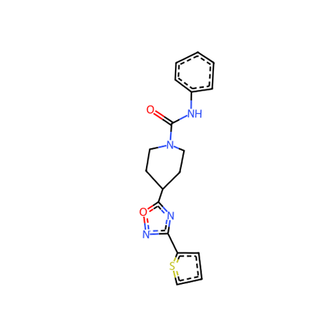 O=C(Nc1ccccc1)N1CCC(c2nc(-c3cccs3)no2)CC1